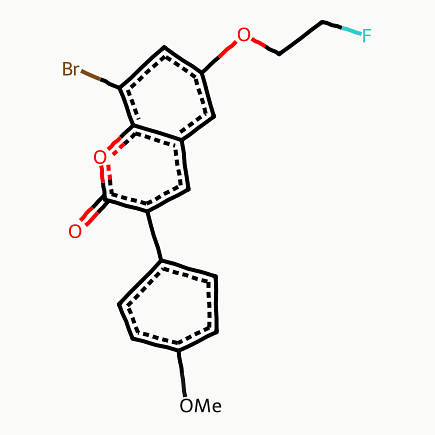 COc1ccc(-c2cc3cc(OCCF)cc(Br)c3oc2=O)cc1